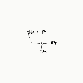 [CH2]C(=O)O[Si](CCCCCCCC)(C(C)C)C(C)C